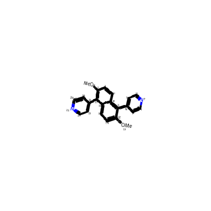 COc1ccc2c(-c3ccncc3)c(OC)ccc2c1-c1ccncc1